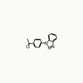 CC(=O)c1ccc(-n2nnc3ccccc32)cc1